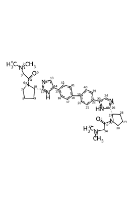 CN(C)CC(=O)N1CCC[C@H]1c1ncc(-c2ccc(-c3ccc(-c4cnc([C@@H]5CCCN5C(=O)CN(C)C)[nH]4)cc3)cc2)[nH]1